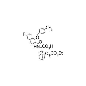 CCOC(=O)[C@H](C)OC12CC3CC(C1)CC(C(NC(=O)c1ccc4cc(F)ccc4c1OCc1ccc(C(F)(F)F)cc1)C(=O)O)(C3)C2